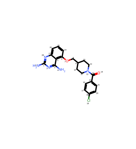 Nc1nc(N)c2c(OCC3CCN(C(=O)c4ccc(Cl)cc4)CC3)cccc2n1